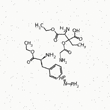 CCOC(=O)C(N)C(CC)(OC(=O)CN)C(=O)O.CCOC(=O)[C@@H](N)Cc1ccccc1.P=NP